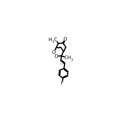 CC1C(=O)CC2CC1OOC2(C)/C=C/c1ccc(F)cc1